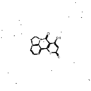 O=c1cc(O)c2c(=O)n3c4c(cccc4c2o1)CC3